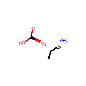 C[CH2][Zn+].N.O=C([O-])O